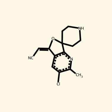 Cc1nc2c(cc1Cl)/C(=C\C#N)OC21CCNCC1